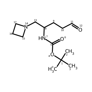 CC(C)(C)OC(=O)NC(CCC=O)CN1CCC1